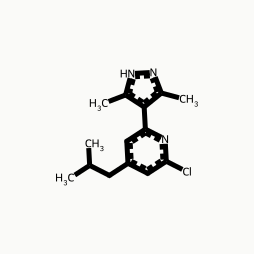 Cc1n[nH]c(C)c1-c1cc(CC(C)C)cc(Cl)n1